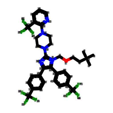 C[Si](C)(C)CCOCn1c(N2CCN(c3ncccc3C(F)(F)F)CC2)nc(-c2ccc(C(F)(F)F)cc2)c1-c1ccc(C(F)(F)F)cc1